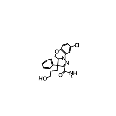 CNC(=O)C1=NN2c3cc(Cl)ccc3OCC2[C@@]1(CCCO)c1ccccc1